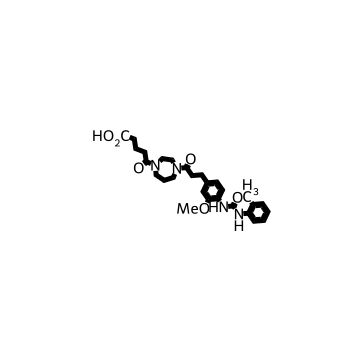 COc1cc(CCC(=O)N2CCCN(C(=O)CCCC(=O)O)CC2)ccc1NC(=O)Nc1ccccc1C